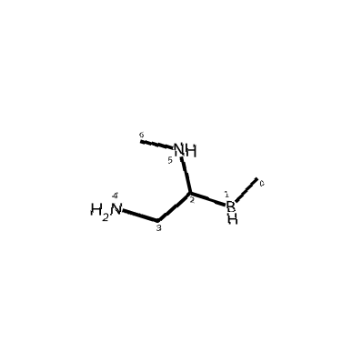 CBC(CN)NC